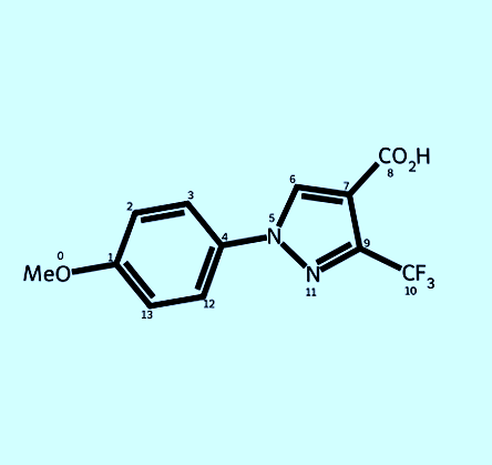 COc1ccc(-n2cc(C(=O)O)c(C(F)(F)F)n2)cc1